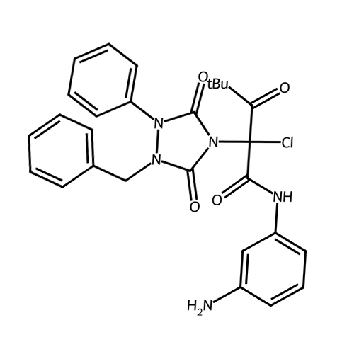 CC(C)(C)C(=O)C(Cl)(C(=O)Nc1cccc(N)c1)n1c(=O)n(Cc2ccccc2)n(-c2ccccc2)c1=O